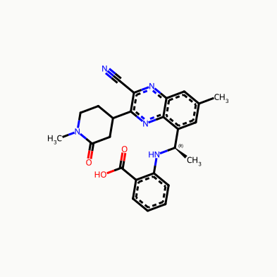 Cc1cc([C@@H](C)Nc2ccccc2C(=O)O)c2nc(C3CCN(C)C(=O)C3)c(C#N)nc2c1